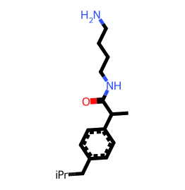 CC(C)Cc1ccc(C(C)C(=O)NCCCCN)cc1